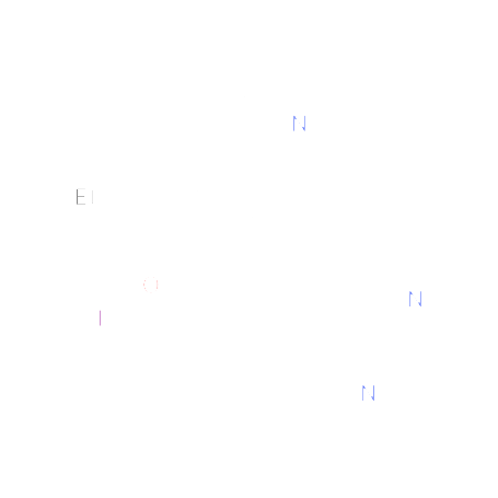 CCC(OI)c1ccncc1C(C)c1c(C)ncnc1C